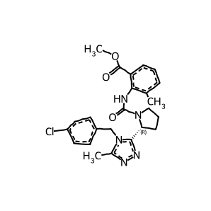 COC(=O)c1cccc(C)c1NC(=O)N1CCC[C@@H]1c1nnc(C)n1Cc1ccc(Cl)cc1